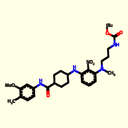 COc1cc(NC(=O)C2CCC(Nc3cccc(N(C)CCCNC(=O)OC(C)(C)C)c3[N+](=O)[O-])CC2)ccc1C